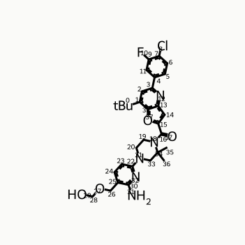 CC(C)(C)c1cc(-c2ccc(Cl)c(F)c2)nc2cc(C(=O)N3CCN(c4ccc(COCO)c(N)n4)CC3(C)C)oc12